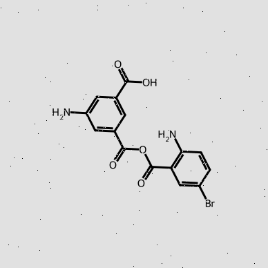 Nc1cc(C(=O)O)cc(C(=O)OC(=O)c2cc(Br)ccc2N)c1